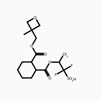 CC1(COC(=O)C2CCCCC2C(=O)OC(C(F)(F)F)C(F)(F)S(=O)(=O)O)COC1